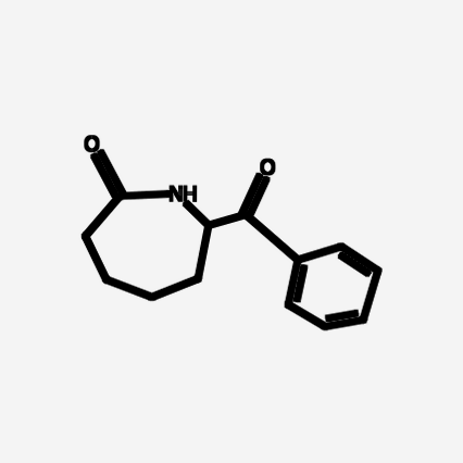 O=C1CCCCC(C(=O)c2ccccc2)N1